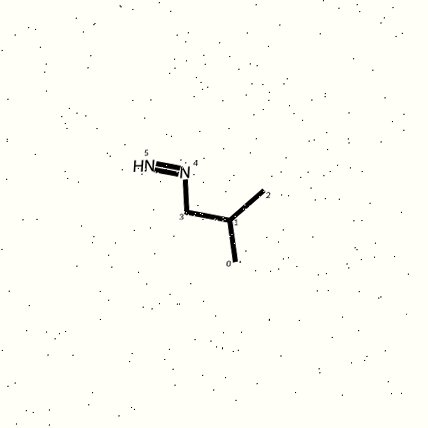 [CH2]C(C)CN=N